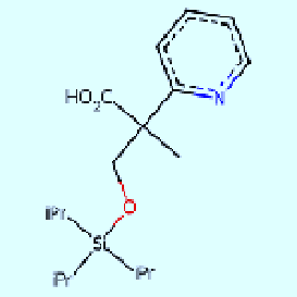 CC(C)[Si](OCC(C)(C(=O)O)c1ccccn1)(C(C)C)C(C)C